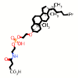 CC(C)CCC[C@@H](C)[C@H]1CCC2C3CC=C4C[C@@H](OCCOP(=O)(O)OCCNC(=O)CCC(=O)O)CC[C@]4(C)C3CC[C@@]21C